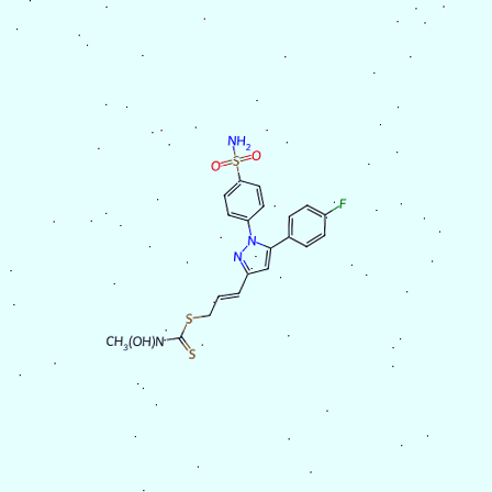 CN(O)C(=S)SCC=Cc1cc(-c2ccc(F)cc2)n(-c2ccc(S(N)(=O)=O)cc2)n1